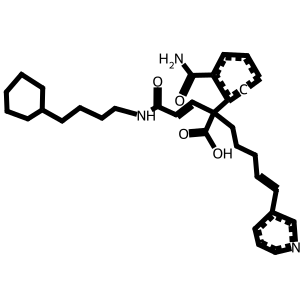 NC(=O)c1ccccc1C(C=CC(=O)NCCCCC1CCCCC1)(CCCC=Cc1cccnc1)C(=O)O